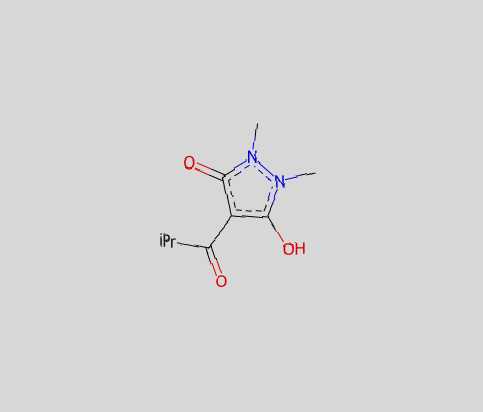 CC(C)C(=O)c1c(O)n(C)n(C)c1=O